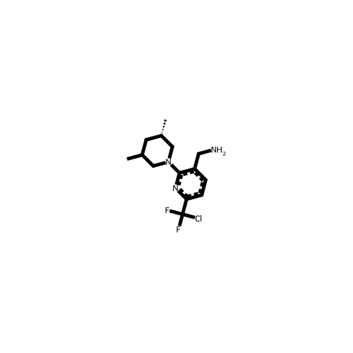 CC1C[C@H](C)CN(c2nc(C(F)(F)Cl)ccc2CN)C1